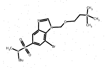 CN(C(C)(C)C)S(=O)(=O)c1cc(Br)c2c(c1)ncn2COCC[Si](C)(C)C